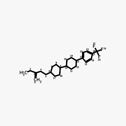 C=C(CC)CCC1CCC(C2CCC(c3ccc(C(F)(F)F)cc3)CC2)CC1